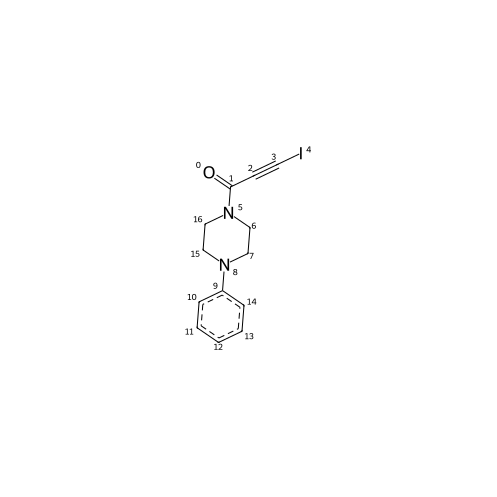 O=C(C#CI)N1CCN(c2ccccc2)CC1